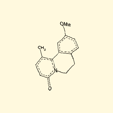 COc1ccc2c(c1)-c1c(C)ccc(=O)n1CC2